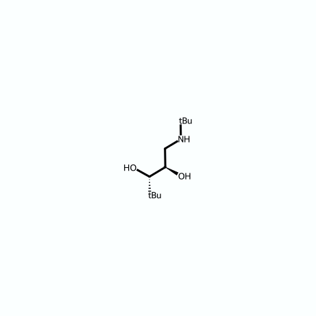 CC(C)(C)NC[C@@H](O)[C@@H](O)C(C)(C)C